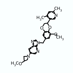 COc1cc(Cn2cnc3cc(N4CC(OC)C4)cnc32)cc2c1OC(c1cnc(C)cc1C)CO2